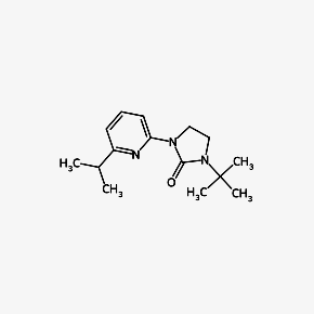 CC(C)c1cccc(N2CCN(C(C)(C)C)C2=O)n1